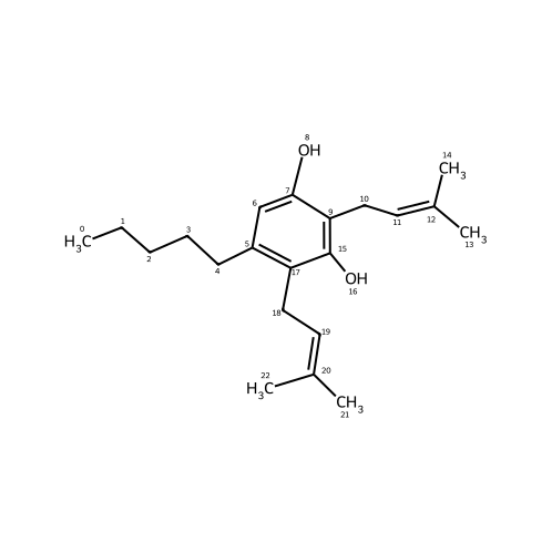 CCCCCc1cc(O)c(CC=C(C)C)c(O)c1CC=C(C)C